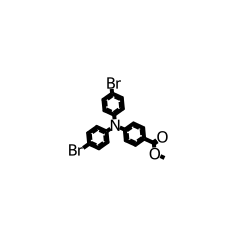 COC(=O)c1ccc(N(c2ccc(Br)cc2)c2ccc(Br)cc2)cc1